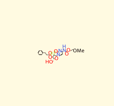 COCCOC(=O)Nc1ccn([C@@H]2O[C@H](CO)[C@@H](OC(=O)CCc3ccccc3)C2(F)F)c(=O)n1